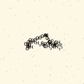 COc1ccc(CC[C@@H](OC(=O)C2CCCCN2C(=O)[C@H](c2cc(OC)c(OC)c(OC)c2)C2CCCCC2)c2cccc(OCc3cn(CCOCCOCCOCCOCCOCC(=O)Nc4cccc5c4C(=O)N(C4CCC(=O)NC4=O)C5=O)nn3)c2)cc1OC